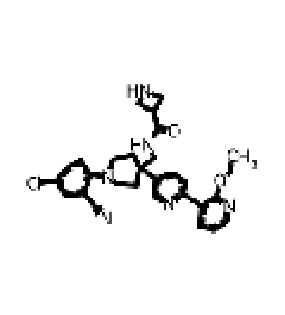 CCOc1ncccc1-c1ccc(C2(CNC(=O)C3CNC3)CCN(c3ccc(Cl)cc3C#N)CC2)cn1